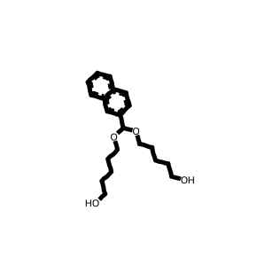 OCCCCCOC(OCCCCCO)c1ccc2ccccc2c1